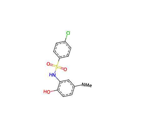 CNc1ccc(O)c(NS(=O)(=O)c2ccc(Cl)cc2)c1